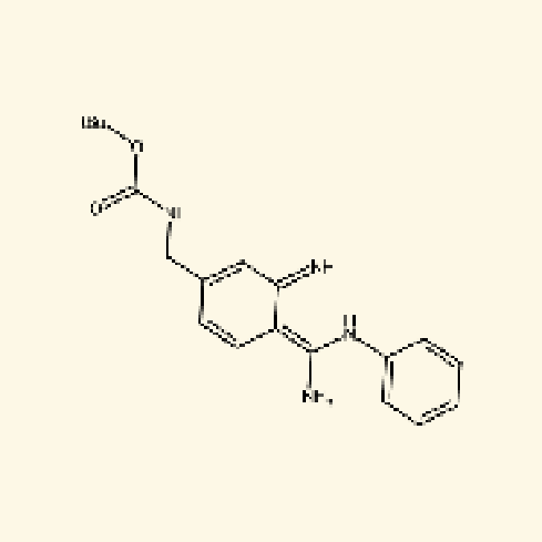 CC(C)(C)OC(=O)NCC1=CC(=N)/C(=C(/N)Nc2ccccc2)C=C1